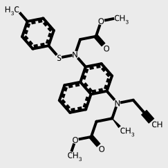 C#CCN(c1ccc(N(CC(=O)OC)Sc2ccc(C)cc2)c2ccccc12)[C@@H](C)CC(=O)OC